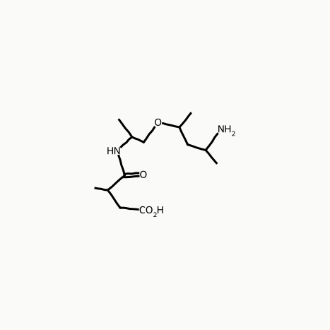 CC(N)CC(C)OCC(C)NC(=O)C(C)CC(=O)O